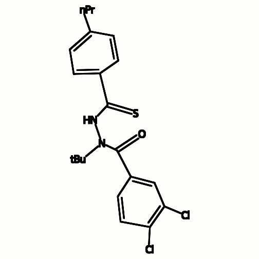 CCCc1ccc(C(=S)NN(C(=O)c2ccc(Cl)c(Cl)c2)C(C)(C)C)cc1